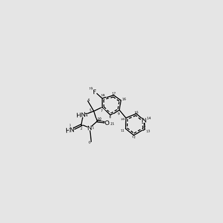 CN1C(=N)NC(C)(c2cc(-c3cccnc3)ccc2F)C1=O